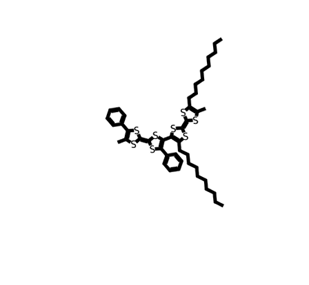 CCCCCCCCCCC1=C(C)S/C(=C2\SC(CCCCCCCCCC)=C(C3=C(c4ccccc4)S/C(=C4\SC(C)=C(c5ccccc5)S4)S3)S2)S1